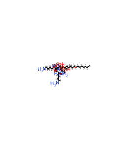 CCCCCCCCCCCCCCCC(=O)C(O)C(C(=O)O)(C(=O)C(N)CCCCN)N(C(=O)C(N)CCCCN)C(=O)C(N)C(C)O